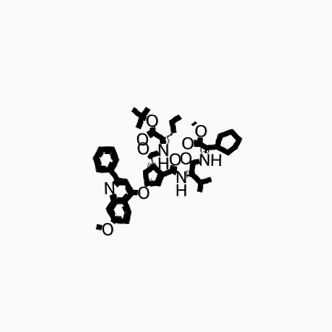 CCC[C@H](NC(=O)[C@H]1C[C@H](Oc2cc(-c3ccccc3)nc3cc(OC)ccc23)C=C1C(=O)N[C@H](C(=O)N[C@H](C(=O)OC)C1CCCCC1)C(C)C)C(=O)OC(C)(C)C